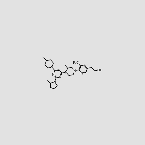 CC1CN(c2ncc(CCO)cc2C(F)(F)F)CCN1c1cc(N2CCC(F)CC2)nc(N2CCCC2C)n1